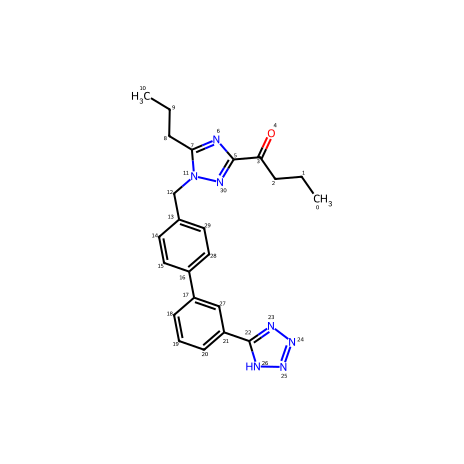 CCCC(=O)c1nc(CCC)n(Cc2ccc(-c3cccc(-c4nnn[nH]4)c3)cc2)n1